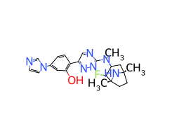 CN(c1ncc(-c2ccc(-n3ccnc3)cc2O)nn1)[C@H]1C[C@]2(C)CC[C@@](C)(N2)[C@H]1F